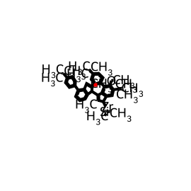 COc1c(C(C)(C)C)cc2c(c1-c1ccc(C(C)(C)C)cc1)C(C1C(C)=Cc3c(-c4ccc(C(C)(C)C)cc4)cccc31)=C(C)[CH]2[Zr]=[Si](C)C